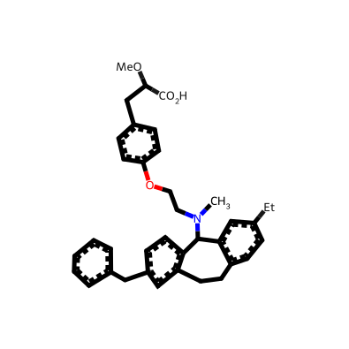 CCc1ccc2c(c1)C(N(C)CCOc1ccc(CC(OC)C(=O)O)cc1)c1ccc(Cc3ccccc3)cc1CC2